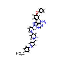 Nc1ncnc2c1c(-c1ccc(Oc3ccccc3)cc1)nn2[C@@H]1CCCN(C2CCN(CC3CCN(c4ccc(C(=O)O)cc4)CC3)CC2)C1